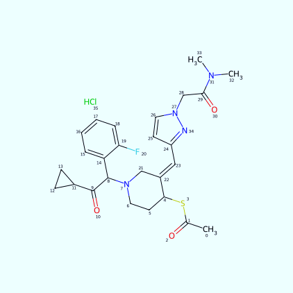 CC(=O)SC1CCN(C(C(=O)C2CC2)c2ccccc2F)C/C1=C\c1ccn(CC(=O)N(C)C)n1.Cl